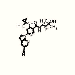 CC1(Nc2cc(-n3ccc4cc(C#N)cnc43)ncc2C(=O)NC[C@@H](F)C(C)(C)O)CC1